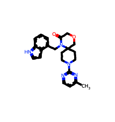 Cc1ccnc(N2CCC3(CC2)COCC(=O)N3Cc2cccc3[nH]ccc23)n1